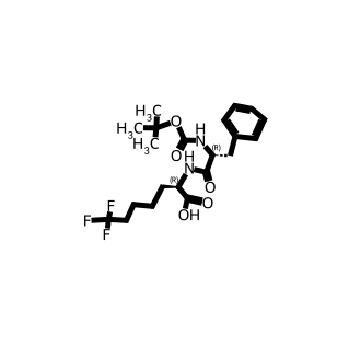 CC(C)(C)OC(=O)N[C@H](Cc1ccccc1)C(=O)N[C@H](CCCCC(F)(F)F)C(=O)O